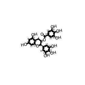 O=C(O[C@H]1Cc2c(O)cc(O)cc2O[C@@H]1c1cc(O)c(O)c(O)c1)c1cc(O)c(O)c(O)c1